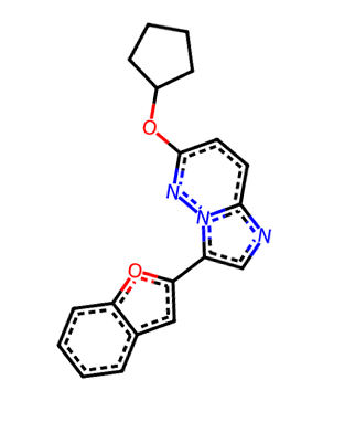 c1ccc2oc(-c3cnc4ccc(OC5CCCC5)nn34)cc2c1